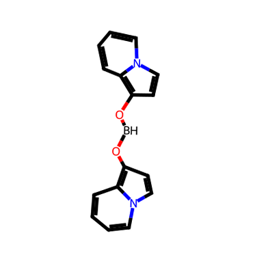 B(Oc1ccn2ccccc12)Oc1ccn2ccccc12